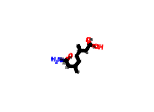 CC(CCC(C)CC(=O)O)CC(N)=O